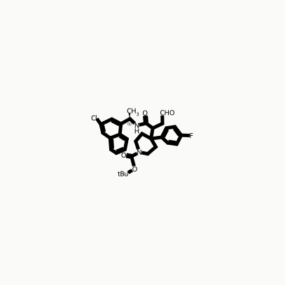 C[C@H](NC(=O)C(CC=O)C1(c2ccc(F)cc2)CCN(C(=O)OC(C)(C)C)CC1)c1cc(Cl)cc2ccccc12